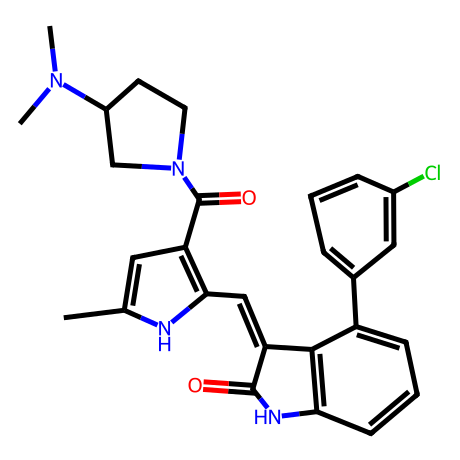 Cc1cc(C(=O)N2CCC(N(C)C)C2)c(C=C2C(=O)Nc3cccc(-c4cccc(Cl)c4)c32)[nH]1